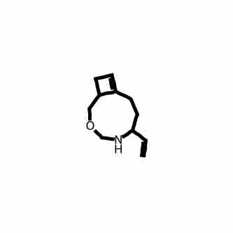 C=CC1CCC2=CCC2COCN1